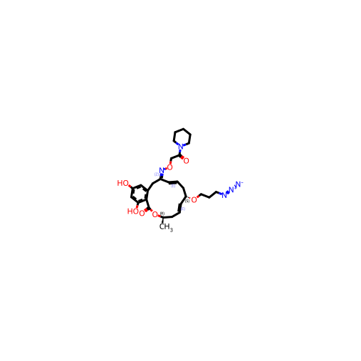 C[C@@H]1C/C=C/[C@@H](OCCCN=[N+]=[N-])C/C=C/C(=N\OCC(=O)N2CCCCC2)Cc2cc(O)cc(O)c2C(=O)O1